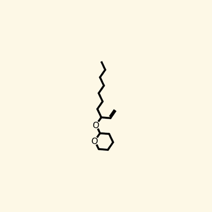 C=CC(CCCCCCC)OC1CCCCO1